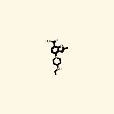 CCNC1CCN(c2ccc(C(N)=O)c3oc(C)cc23)CC1